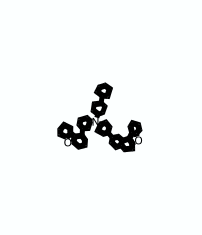 C1=C(c2ccccc2)CCC(N(c2ccc(-c3ccc4ccc5oc6ccccc6c5c4c3)cc2)c2cccc(-c3cccc4oc5ccccc5c34)c2)=C1